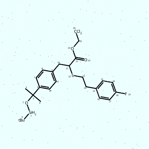 CC(C)(C)[SiH2]OC(C)(C)c1ccc(CC(SCCc2ccc(F)cc2)C(=O)OCC(Cl)(Cl)Cl)cc1